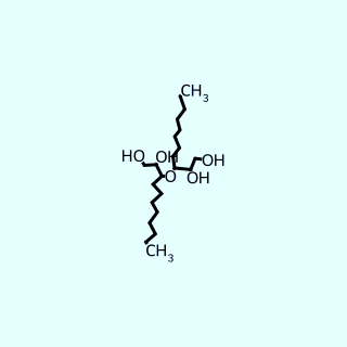 CCCCCCCCC(OC(CCCCCCCC)C(O)CO)C(O)CO